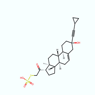 C[C@]12CC[C@H]3[C@@H](CC=C4C[C@@](O)(C#CC5CC5)CC[C@@H]43)[C@@H]1CC[C@@H]2C(=O)CSS(=O)(=O)O